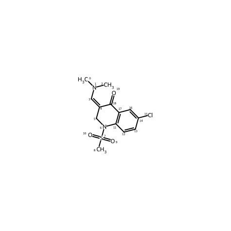 CN(C)/C=C1/CN(S(C)(=O)=O)c2ccc(Cl)cc2C1=O